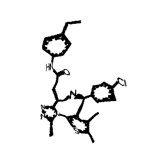 CCc1ccc(NC(=O)CC2N=C(c3ccc(Cl)cc3)c3c(sc(C)c3C)-n3c(C)nnc32)cc1